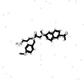 COc1ccc(CN(CCCN)C(=O)CN(C)c2ccc3cc(C(C)=O)ccc3c2)cc1